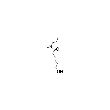 CCCN(C)C(=O)CCCCCO